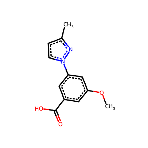 COc1cc(C(=O)O)cc(-n2ccc(C)n2)c1